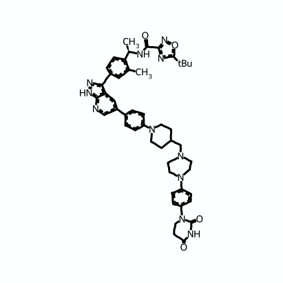 Cc1cc(-c2n[nH]c3ncc(-c4ccc(N5CCC(CN6CCN(c7ccc(N8CCC(=O)NC8=O)cc7)CC6)CC5)cc4)cc23)ccc1[C@@H](C)NC(=O)c1noc(C(C)(C)C)n1